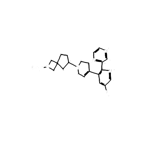 CCOC(=O)N1CC2(CCC(N3CC=C(c4cc(F)cnc4-c4cnccn4)CC3)C2)C1